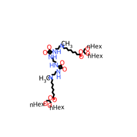 CCCCCCOCC(COCCCCCC)OC(=O)CCCCCCCN(C)CCCNc1c(NCCCNc2c(NCCCN(C)CCCCCCCC(=O)OC(COCCCCCC)COCCCCCC)c(=O)c2=O)c(=O)c1=O